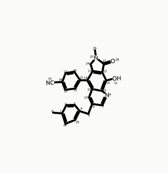 Cc1ccc(Cc2cnc3c(O)c4c(c(-c5ccc(C#N)cc5)c3c2)CN(C)C4=O)cc1